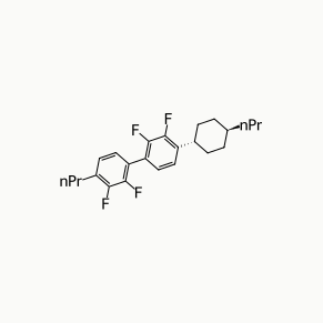 CCCc1ccc(-c2ccc([C@H]3CC[C@H](CCC)CC3)c(F)c2F)c(F)c1F